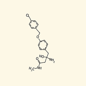 CNC(=O)CC(N)(O)Cc1ccc(OCc2ccc(Cl)cc2)cc1